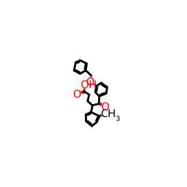 Cc1ccccc1C(CCC(=O)O)C(=O)c1cccc(OCc2ccccc2)c1